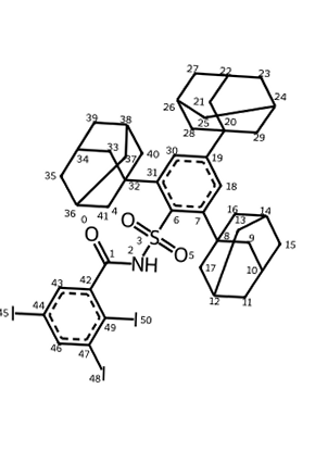 O=C(NS(=O)(=O)c1c(C23CC4CC(CC(C4)C2)C3)cc(C23CC4CC(CC(C4)C2)C3)cc1C12CC3CC(CC(C3)C1)C2)c1cc(I)cc(I)c1I